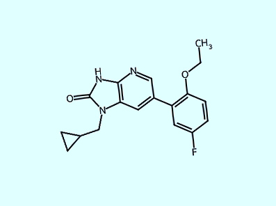 CCOc1ccc(F)cc1-c1cnc2[nH]c(=O)n(CC3CC3)c2c1